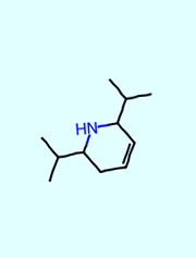 CC(C)C1C=CCC(C(C)C)N1